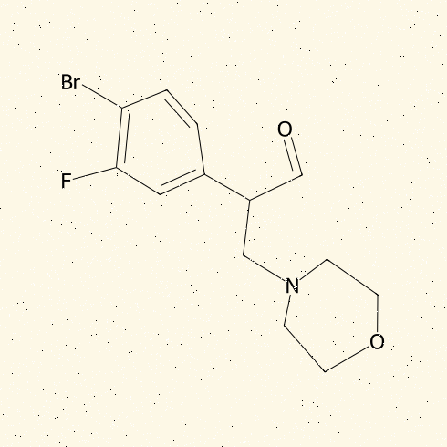 O=CC(CN1CCOCC1)c1ccc(Br)c(F)c1